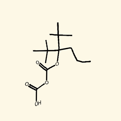 CCCC(OC(=O)OC(=O)O)(C(C)(C)C)C(C)(C)C